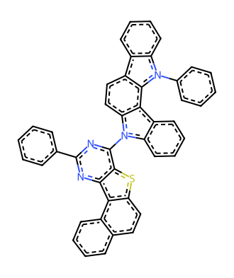 c1ccc(-c2nc(-n3c4ccccc4c4c3ccc3c5ccccc5n(-c5ccccc5)c34)c3sc4ccc5ccccc5c4c3n2)cc1